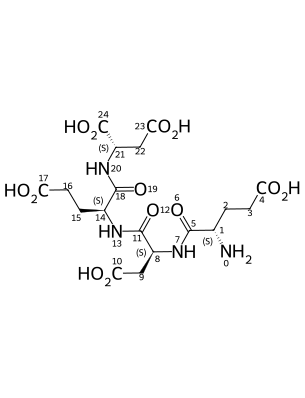 N[C@@H](CCC(=O)O)C(=O)N[C@@H](CC(=O)O)C(=O)N[C@@H](CCC(=O)O)C(=O)N[C@@H](CC(=O)O)C(=O)O